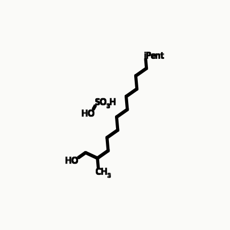 CCCC(C)CCCCCCCCCC(C)CO.O=S(=O)(O)O